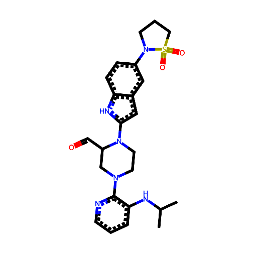 CC(C)Nc1cccnc1N1CCN(c2cc3cc(N4CCCS4(=O)=O)ccc3[nH]2)C(C=O)C1